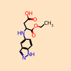 CCOC(=O)C(CC(=O)O)Nc1ccc2[nH]ncc2c1